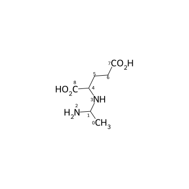 CC(N)NC(CCC(=O)O)C(=O)O